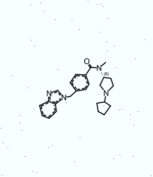 CN(C(=O)c1ccc(Cn2cnc3ccccc32)cc1)[C@@H]1CCN(C2CCCC2)C1